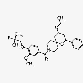 CCOC1CC(c2ccccc2)OC2(CCN(C(=O)c3ccc(OCC(C)(C)F)c(OC)c3)CC2)C1